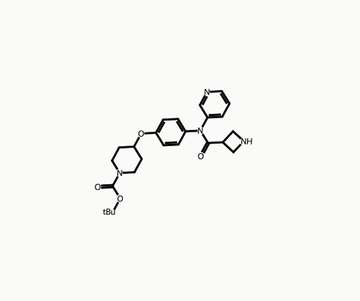 CC(C)(C)OC(=O)N1CCC(Oc2ccc(N(C(=O)C3CNC3)c3cccnc3)cc2)CC1